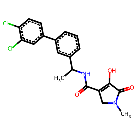 CC(NC(=O)C1=C(O)C(=O)N(C)C1)c1cccc(-c2ccc(Cl)c(Cl)c2)c1